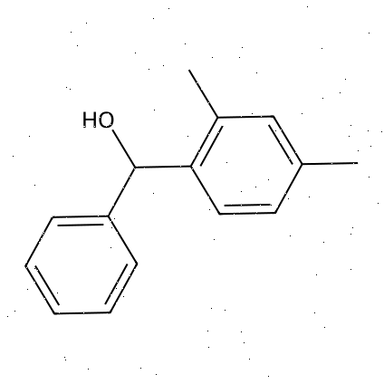 Cc1ccc(C(O)c2ccccc2)c(C)c1